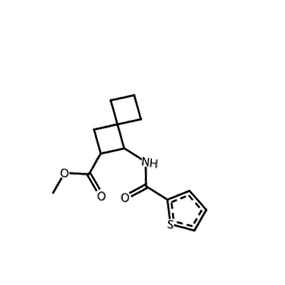 COC(=O)C1CC2(CCC2)C1NC(=O)c1cccs1